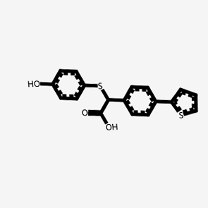 O=C(O)C(Sc1ccc(O)cc1)c1ccc(-c2cccs2)cc1